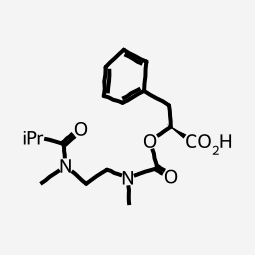 CC(C)C(=O)N(C)CCN(C)C(=O)O[C@@H](Cc1ccccc1)C(=O)O